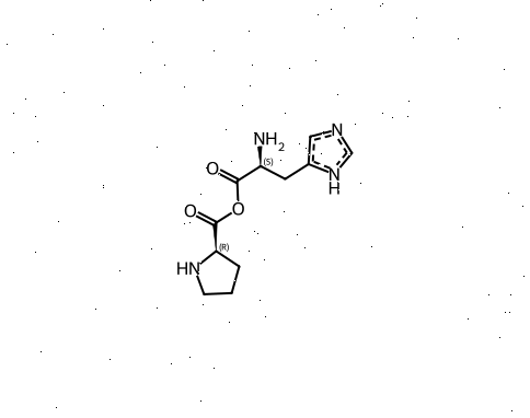 N[C@@H](Cc1cnc[nH]1)C(=O)OC(=O)[C@H]1CCCN1